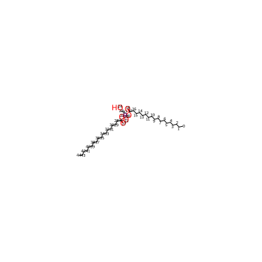 CCCCCCCCCCCCCCCCCC(=O)OP(=O)(CCO)OC(=O)CCCCCCCCCCCCCCCCC